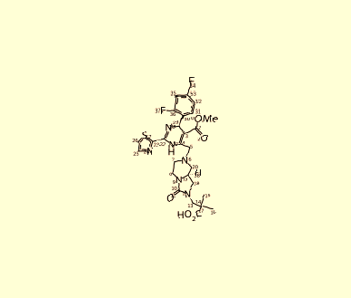 COC(=O)C1=C(CN2CCN3C(=O)N(CC(C)(C)C(=O)O)C[C@@H]3C2)NC(c2nccs2)=N[C@H]1c1ccc(F)cc1F